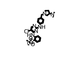 CN(C)C1CCN(Cc2ccc(Nc3ncc(Cl)c(Nc4ccccc4S(=O)(=O)N(C)C)n3)cc2)C1